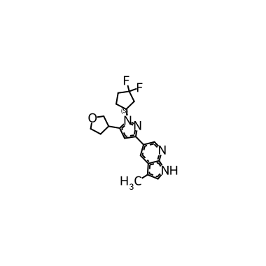 Cc1c[nH]c2ncc(-c3cc(C4CCOC4)n([C@H]4CCC(F)(F)C4)n3)cc12